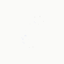 CC(C)(C)c1cn(CCCN2CCCC2)nn1